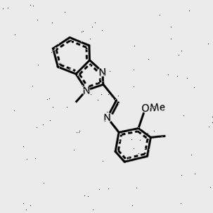 COc1c(C)cccc1N=Cc1nc2ccccc2n1C